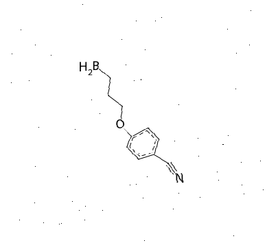 BCCCOc1ccc(C#N)cc1